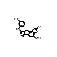 COc1cc2c(c3nc(C)oc13)CC1C(Nc3cccc(C)c3)=NN=C21